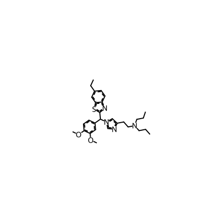 CCCN(CCC)CCc1cn(C(c2ccc(OC)c(OC)c2)c2nc3ccc(CC)cc3s2)cn1